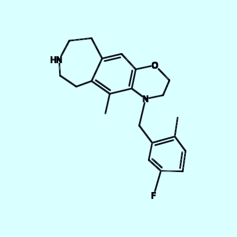 Cc1ccc(F)cc1CN1CCOc2cc3c(c(C)c21)CCNCC3